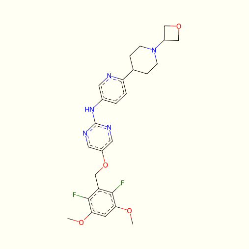 COc1cc(OC)c(F)c(COc2cnc(Nc3ccc(C4CCN(C5COC5)CC4)nc3)nc2)c1F